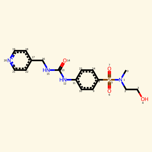 CN(CCO)S(=O)(=O)c1ccc(NC(=O)NCc2ccncc2)cc1